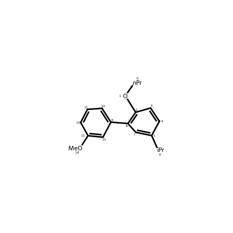 CCCOc1ccc(C(C)C)cc1-c1cccc(OC)c1